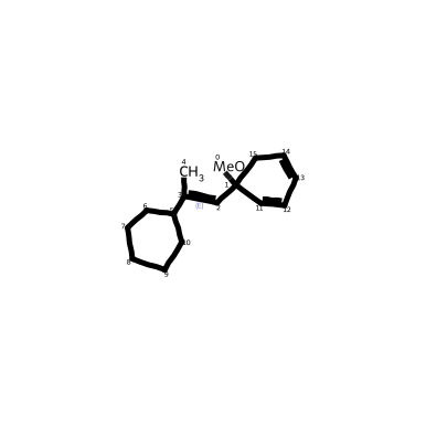 COC1(/C=C(\C)C2CCCCC2)C=CC=CC1